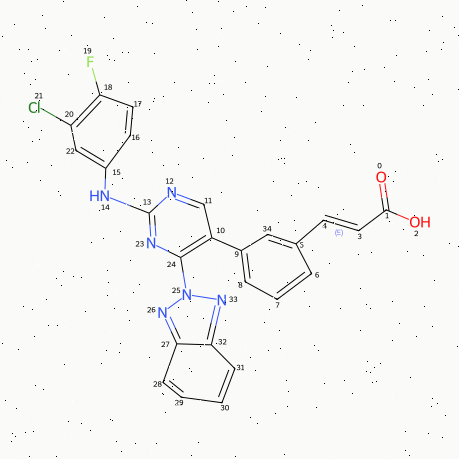 O=C(O)/C=C/c1cccc(-c2cnc(Nc3ccc(F)c(Cl)c3)nc2-n2nc3ccccc3n2)c1